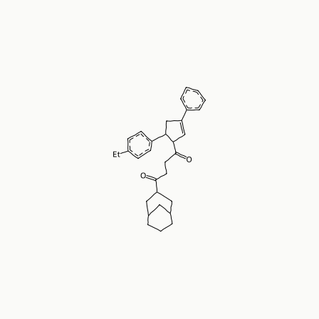 CCc1ccc(C2CC(c3ccccc3)=CC2C(=O)CCC(=O)C2CC3CCCC(C3)C2)cc1